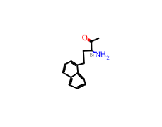 CC(=O)[C@@H](N)CCc1cccc2ccccc12